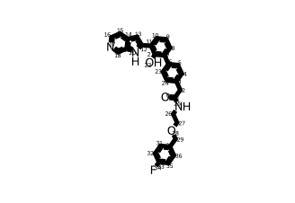 O=C(Cc1ccc(-c2cccc(-c3cc4ccncc4[nH]3)c2O)cc1)NCCOCc1ccc(F)cc1